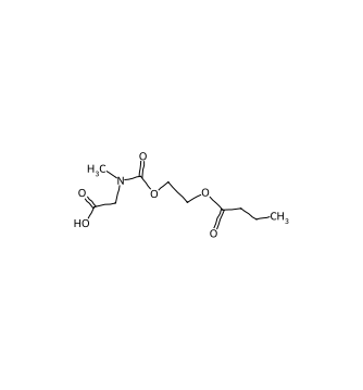 CCCC(=O)OCCOC(=O)N(C)CC(=O)O